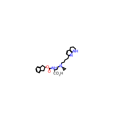 O=C(N[C@@H](CCN(CCCCc1ccc2c(n1)NCCC2)C1CC1)C(=O)O)OC1Cc2ccccc2C1